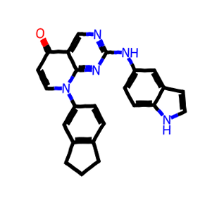 O=c1ccn(-c2ccc3c(c2)CCC3)c2nc(Nc3ccc4[nH]ccc4c3)ncc12